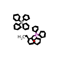 C=Cc1ccccc1C[P+](c1ccccc1)(c1ccccc1)c1ccccc1.c1ccc([B-](c2ccccc2)(c2ccccc2)c2ccccc2)cc1